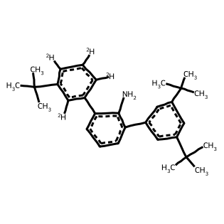 [2H]c1c([2H])c(-c2cccc(-c3cc(C(C)(C)C)cc(C(C)(C)C)c3)c2N)c([2H])c(C(C)(C)C)c1[2H]